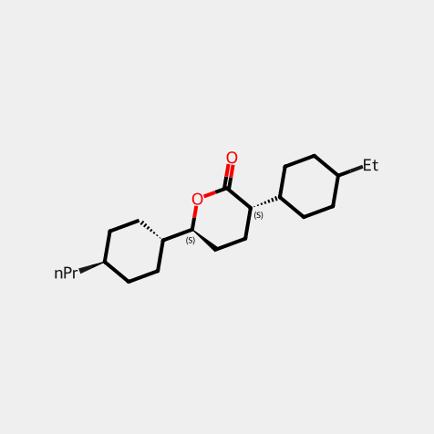 CCC[C@H]1CC[C@H]([C@@H]2CC[C@@H](C3CCC(CC)CC3)C(=O)O2)CC1